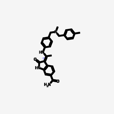 C/C(Nc1ccc(CN(C)Cc2ccc(C)cc2)cc1)=C1/C(=O)Nc2cc(C(N)=O)ccc21